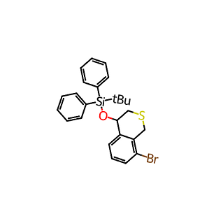 CC(C)(C)[Si](OC1CSCc2c(Br)cccc21)(c1ccccc1)c1ccccc1